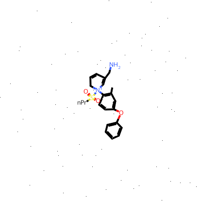 CCCS(=O)(=O)[N+]1(c2ccc(Oc3ccccc3)cc2C)C=C(CN)C=CC1